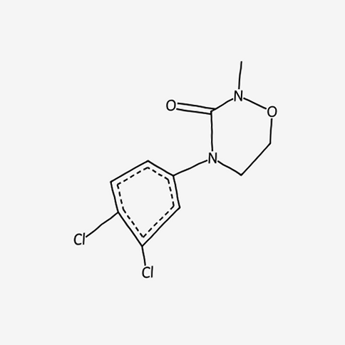 CN1OCCN(c2ccc(Cl)c(Cl)c2)C1=O